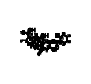 C[C@@H]1C[C@H]2[C@H]3C[C@H](F)C4=CC(=O)C(OC(=O)C5=CC=CCC5=S)=C[C@]4(C)[C@@]3(F)[C@@H](O)C[C@]2(C)[C@@H]1C(O)=S